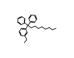 CCCCCCCCC(c1ccccc1)(c1ccccc1)c1cccc(CC)c1